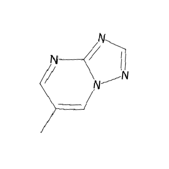 Cc1cnc2ncnn2c1